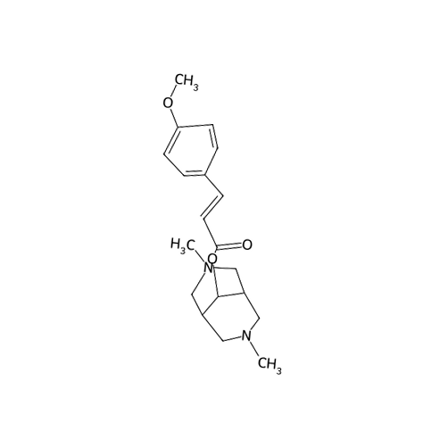 COc1ccc(C=CC(=O)OC2C3CN(C)CC2CN(C)C3)cc1